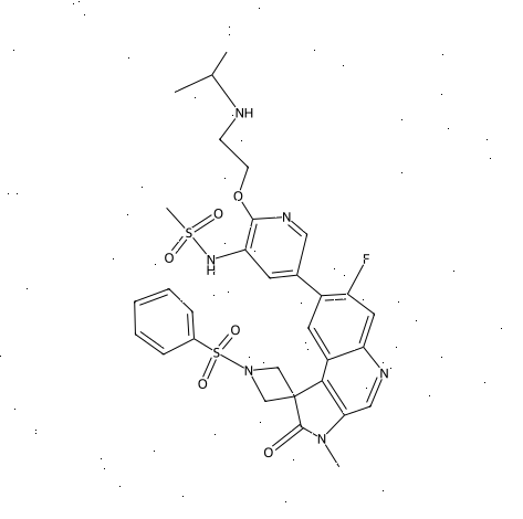 CC(C)NCCOc1ncc(-c2cc3c4c(cnc3cc2F)N(C)C(=O)C42CN(S(=O)(=O)c3ccccc3)C2)cc1NS(C)(=O)=O